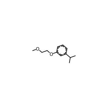 COCCOc1cccc(C(C)C)c1